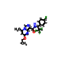 CCOc1cc(C)n2cnc(C(=O)NC(c3ccc(F)cc3)C(F)(F)F)c2n1